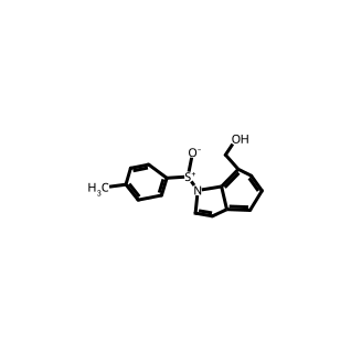 Cc1ccc([S+]([O-])n2ccc3cccc(CO)c32)cc1